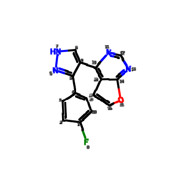 Fc1ccc(-c2n[nH]cc2-c2ncnc3occc23)cc1